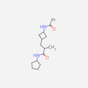 CC(C)C(=O)NC1CC(CC(C)C(=O)NC2CCCC2)C1